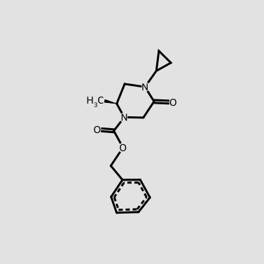 C[C@H]1CN(C2CC2)C(=O)CN1C(=O)OCc1ccccc1